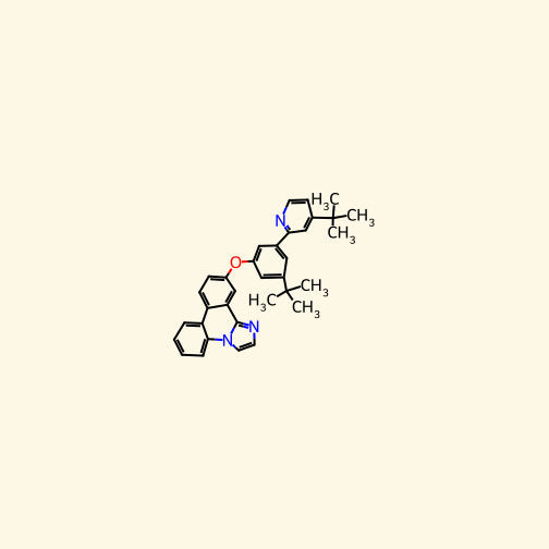 CC(C)(C)c1cc(Oc2ccc3c4ccccc4n4ccnc4c3c2)cc(-c2cc(C(C)(C)C)ccn2)c1